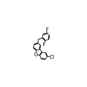 Fc1ccc(F)c([CH]c2ccc3oc4ccc(Cl)cc4c3c2)c1